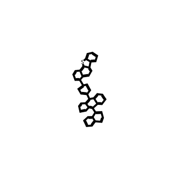 c1ccc2c(-c3c4ccccc4c(-c4ccc(-c5cccc6c5ccc5c7ccccc7sc65)cc4)c4ccccc34)cccc2c1